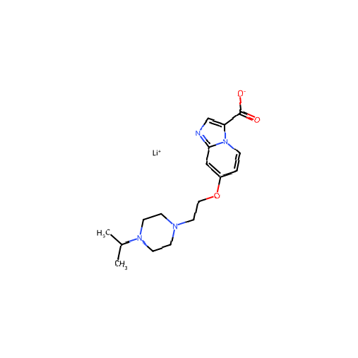 CC(C)N1CCN(CCOc2ccn3c(C(=O)[O-])cnc3c2)CC1.[Li+]